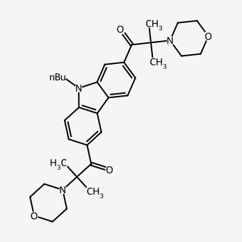 CCCCn1c2ccc(C(=O)C(C)(C)N3CCOCC3)cc2c2ccc(C(=O)C(C)(C)N3CCOCC3)cc21